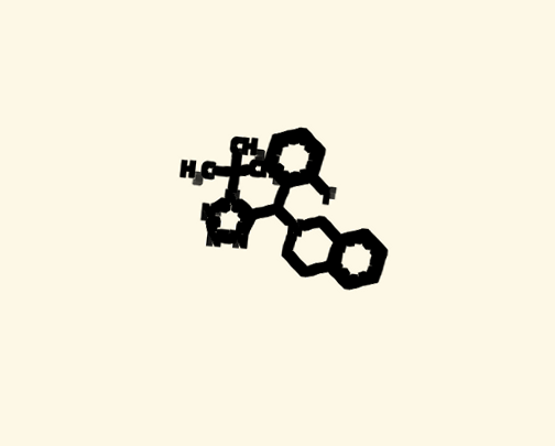 CC(C)(C)n1nnnc1C(c1ccccc1F)N1CCc2ccccc2C1